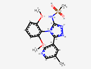 COc1cccc(OC)c1-n1c(NS(C)(=O)=O)nnc1-c1cncc(C)c1